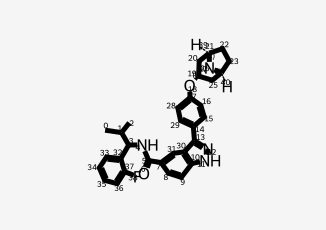 CC(C)C(NC(=O)c1ccc2[nH]nc(-c3ccc(O[C@H]4C[C@H]5CC[C@@H](C4)N5C)cc3)c2c1)c1ccccc1F